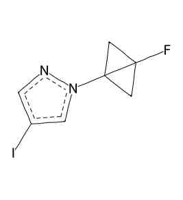 FC12CC1(n1cc(I)cn1)C2